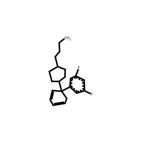 CCCCC1CCC(C2(c3cc(F)cc(F)c3)C=CC=CC2)CC1